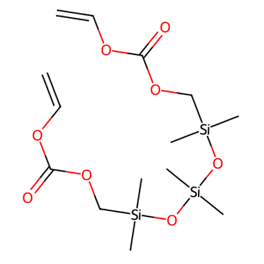 C=COC(=O)OC[Si](C)(C)O[Si](C)(C)O[Si](C)(C)COC(=O)OC=C